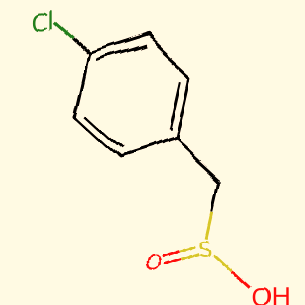 O=S(O)Cc1ccc(Cl)cc1